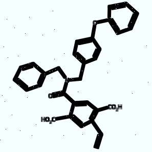 C=Cc1cc(C(=O)O)c(C(=O)N(Cc2ccccc2)Cc2ccc(Oc3ccccc3)cc2)cc1C(=O)O